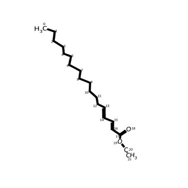 CCCCCCCCCCCCCC=CC=CC(=O)OCC